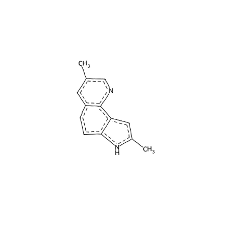 Cc1cnc2c(ccc3[nH]c(C)cc32)c1